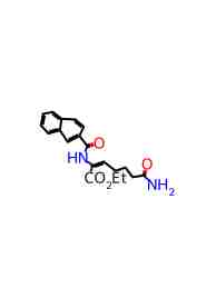 CCOC(=O)C(=CCCCC(N)=O)NC(=O)c1ccc2ccccc2c1